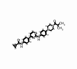 CC(C)C(=O)N1CCN(c2ccc(Nc3nccc(-c4ccc(NC(=O)C5CC5)cc4)n3)cc2)CC1